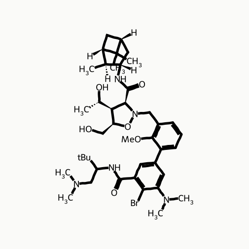 COc1c(CN2O[C@@H](CO)[C@@H]([C@H](C)O)[C@H]2C(=O)N[C@H]2C[C@H]3C[C@@H]([C@@H]2C)C3(C)C)cccc1-c1cc(C(=O)NC(CN(C)C)C(C)(C)C)c(Br)c(N(C)C)c1